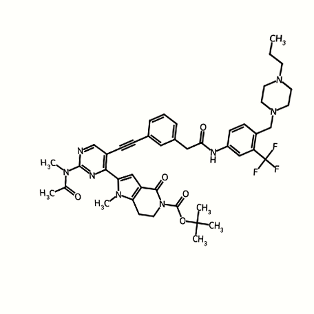 CCCN1CCN(Cc2ccc(NC(=O)Cc3cccc(C#Cc4cnc(N(C)C(C)=O)nc4-c4cc5c(n4C)CCN(C(=O)OC(C)(C)C)C5=O)c3)cc2C(F)(F)F)CC1